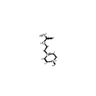 C=C(CCC)OCCN1CCN(C)CC1